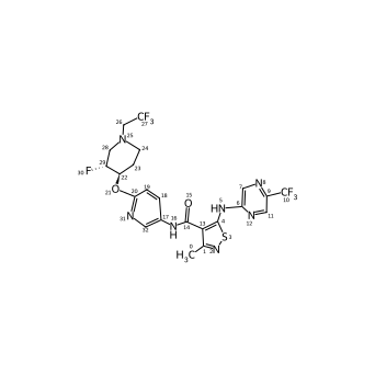 Cc1nsc(Nc2cnc(C(F)(F)F)cn2)c1C(=O)Nc1ccc(O[C@@H]2CCN(CC(F)(F)F)C[C@H]2F)nc1